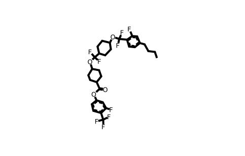 CCCCc1ccc(C(F)(F)OC2CCC(C(F)(F)OC3CCC(C(=O)Oc4ccc(C(F)(F)F)c(F)c4)CC3)CC2)c(F)c1